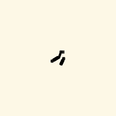 C=O.O=CO